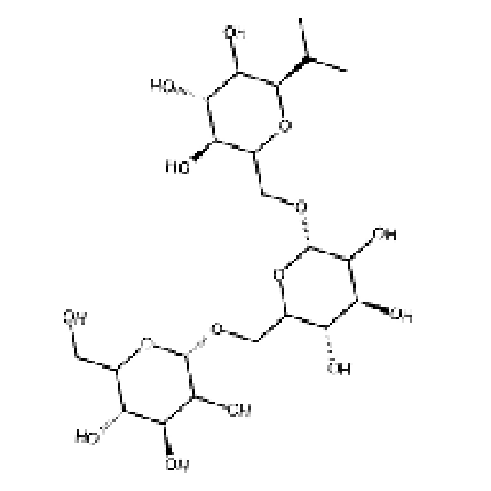 CC(C)[C@H]1OC(CO[C@H]2OC(CO[C@H]3OC(CO)[C@@H](O)[C@H](O)C3O)[C@@H](O)[C@H](O)C2O)[C@@H](O)[C@H](O)C1O